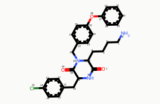 NCCCCC1C(=O)NC(Cc2ccc(Cl)cc2)C(=O)N1Cc1ccc(Oc2ccccc2)cc1